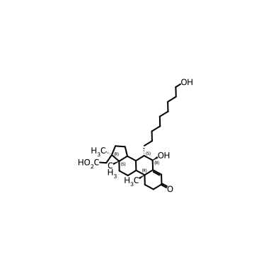 C[C@]1(CC(=O)O)CCC2C3C(CC[C@@]21C)[C@@]1(C)CCC(=O)C=C1[C@H](O)[C@H]3CCCCCCCCCO